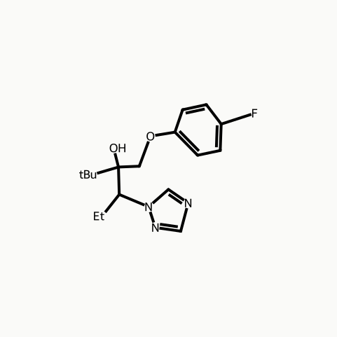 CCC(n1cncn1)C(O)(COc1ccc(F)cc1)C(C)(C)C